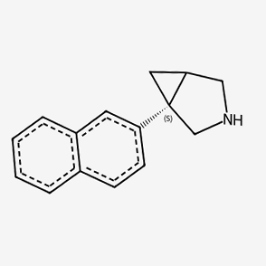 c1ccc2cc([C@@]34CNCC3C4)ccc2c1